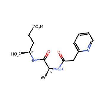 CC(C)[C@H](NC(=O)Cc1ccccn1)C(=O)N[C@H](CCC(=O)O)C(=O)O